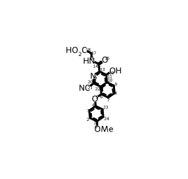 COc1ccc(Oc2cccc3c(O)c(C(=O)NCC(=O)O)nc(C#N)c23)cc1